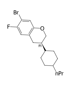 CCCC1CCC([C@@H]2COc3cc(Br)c(F)cc3C2)CC1